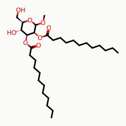 CCCCCCCCCCCC(=O)O[C@H]1[C@H](O)[C@@H](CO)OC(OC)[C@H]1OC(=O)CCCCCCCCCCC